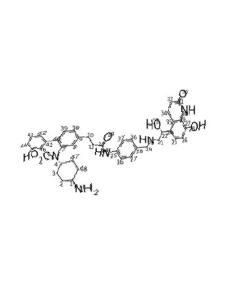 N[C@H]1CC[C@H](N(C(=O)O)c2cc(CCC(=O)Nc3ccc(CNCC(O)c4ccc(O)c5[nH]c(=O)ccc45)cc3)ccc2-c2ccccc2)CC1